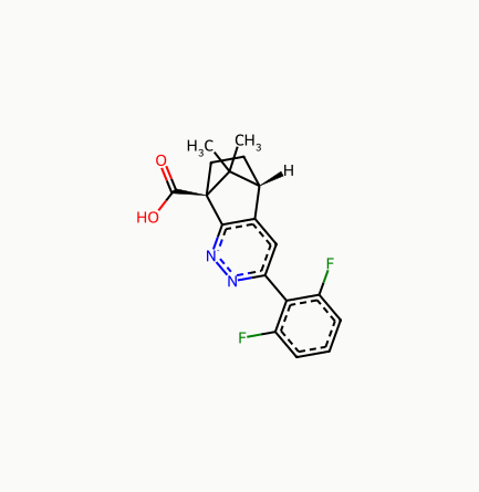 CC1(C)[C@@H]2CC[C@@]1(C(=O)O)c1nnc(-c3c(F)cccc3F)cc12